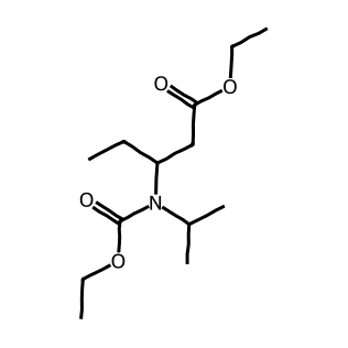 CCOC(=O)CC(CC)N(C(=O)OCC)C(C)C